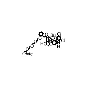 CCC(C)[C@H](NC(=O)Cc1ccccc1OCCOCCOCCOCCOC)C(=O)N[C@]1(C(=O)O)CCc2[nH]c3c(Cl)cc(Cl)cc3c2C1